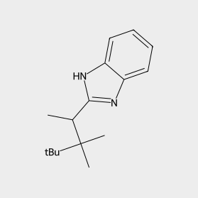 CC(c1nc2ccccc2[nH]1)C(C)(C)C(C)(C)C